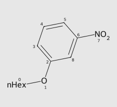 [CH2]CCCCCOc1cccc([N+](=O)[O-])c1